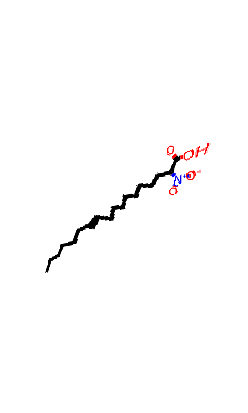 CCCCCCC=CCCCCCCCCC(C(=O)O)[N+](=O)[O-]